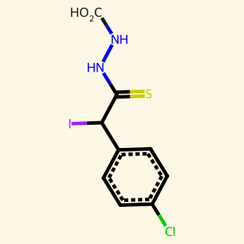 O=C(O)NNC(=S)C(I)c1ccc(Cl)cc1